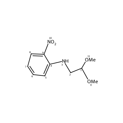 COC(CNc1ccccc1[N+](=O)[O-])OC